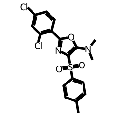 Cc1ccc(S(=O)(=O)c2nc(-c3ccc(Cl)cc3Cl)oc2N(C)C)cc1